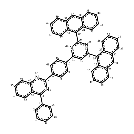 c1ccc(-c2nc(-c3ccc(-c4cc(-c5c6ccccc6cc6ccccc56)nc(-c5c6ccccc6cc6ccccc56)n4)cc3)nc3ccccc23)cc1